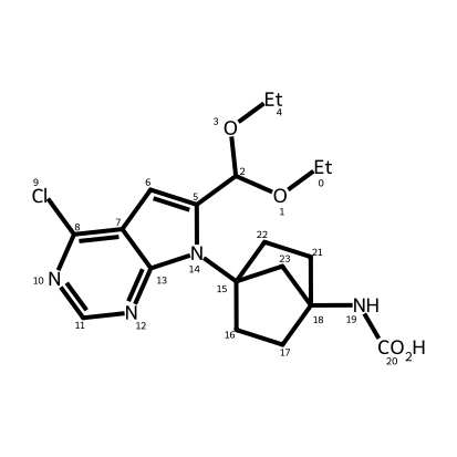 CCOC(OCC)c1cc2c(Cl)ncnc2n1C12CCC(NC(=O)O)(CC1)C2